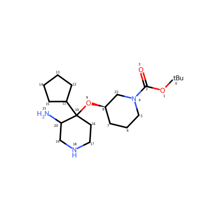 CC(C)(C)OC(=O)N1CCC[C@@H](OC2(C3CCCC3)CCNCC2N)C1